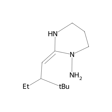 CCC(/C=C1/NCCCN1N)C(C)(C)C